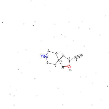 C#C[C@H]1CC2(CCNCC2)CO1